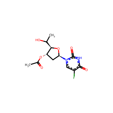 CC(=O)O[C@H]1C[C@H](n2cc(F)c(=O)[nH]c2=O)O[C@@H]1C(C)O